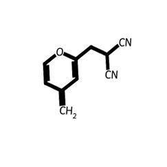 C=C1C=COC(CC(C#N)C#N)=C1